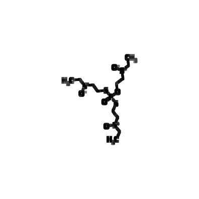 CC[S+]([O-])CCOP(=O)(SCC[S+]([O-])CC)SCC[S+]([O-])CC